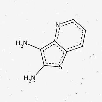 Nc1sc2cccnc2c1N